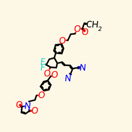 C=CC(=O)OCCCOc1ccc(C2CC(F)(F)C(OC(=O)c3ccc(OCCCN4C(=O)C=CC4=O)cc3)CC2/C=C/C=C(C#N)C#N)cc1